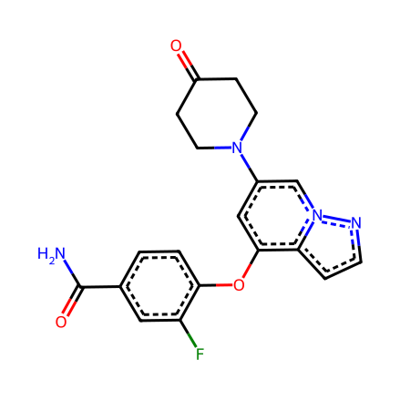 NC(=O)c1ccc(Oc2cc(N3CCC(=O)CC3)cn3nccc23)c(F)c1